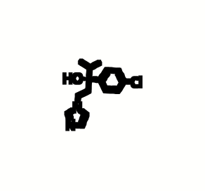 CC(C)[C@](O)(CCn1ccnc1)c1ccc(Cl)cc1